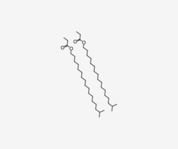 CCC(=O)OCCCCCCCCCCCCCCCC(C)C.CCC(=O)OCCCCCCCCCCCCCCCC(C)C